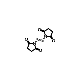 O=C1CCC(=O)N1SSN1C(=O)CCC1=O